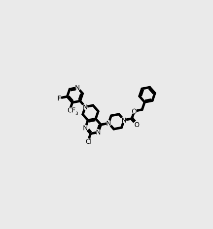 O=C(OCc1ccccc1)N1CCN(c2nc(Cl)nc3c2CCN(c2cncc(F)c2C(F)(F)F)C3)CC1